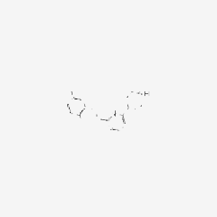 Fc1ccc(Cl)cc1COc1cccc(C2CCNCC2)n1